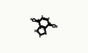 O=C1C=CC(=O)C2=C1C[CH]C2